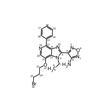 CCn1c(-c2nonc2N)nc2c(-c3ccccc3)ncc(OCCCBr)c21